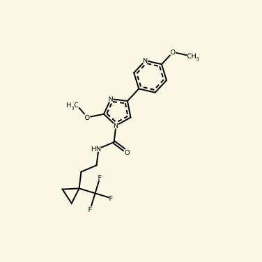 COc1ccc(-c2cn(C(=O)NCCC3(C(F)(F)F)CC3)c(OC)n2)cn1